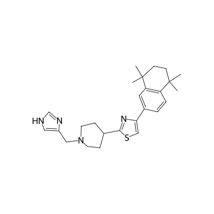 CC1(C)CCC(C)(C)c2cc(-c3csc(C4CCN(Cc5c[nH]cn5)CC4)n3)ccc21